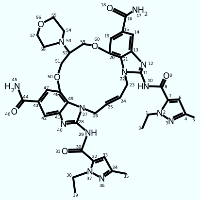 CCn1nc(C)cc1C(=O)Nc1nc2cc(C(N)=O)cc3c2n1C/C=C/Cn1c(NC(=O)c2cc(C)nn2CC)nc2cc(C(N)=O)cc(c21)OCC(N1CCOCC1)CO3